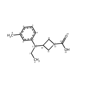 CCN(c1cccc(C)c1)C1CN(C(=O)O)C1